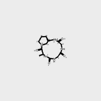 CC1NC(=O)NCC(=O)NCC(=O)NC2CCCN(C2)C1=O